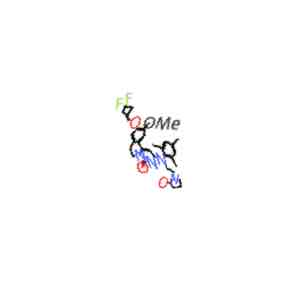 COc1cc2c(cc1OCC1CC(F)(F)C1)CCn1c-2cc(N(CCN2CCCC2=O)c2c(C)cc(C)cc2C)nc1=O